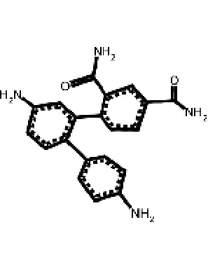 NC(=O)c1ccc(-c2cc(N)ccc2-c2ccc(N)cc2)c(C(N)=O)c1